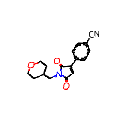 N#Cc1ccc(C2=CC(=O)N(CC3CCOCC3)C2=O)cc1